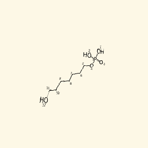 O=P(O)(O)OCCCCCCCO